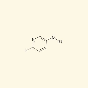 CCOc1ccc(I)nc1